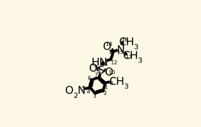 Cc1ccc([N+](=O)[O-])cc1S(=O)(=O)NCC(=O)N(C)C